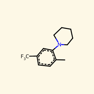 Cc1ccc(C(F)(F)F)cc1N1CCCCC1